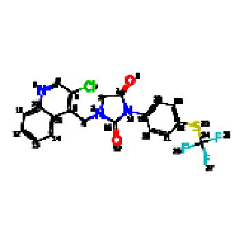 O=C1CN(Cc2c(Cl)cnc3ccccc23)C(=O)N1c1ccc(SC(F)(F)F)cc1